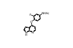 CC(=O)Nc1ccc(Oc2ccnc3[nH]ccc23)c(F)c1